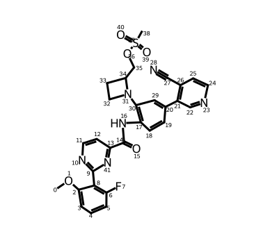 COc1cccc(F)c1-c1nccc(C(=O)Nc2ccc(-c3cnccc3C#N)cc2N2CCC2COS(C)(=O)=O)n1